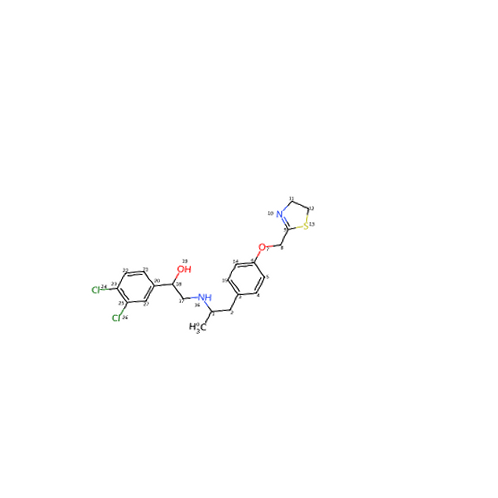 CC(Cc1ccc(OCC2=NCCS2)cc1)NCC(O)c1ccc(Cl)c(Cl)c1